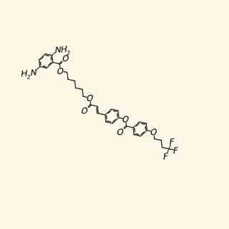 Nc1ccc(N)c(C(=O)OCCCCCCOC(=O)C=Cc2ccc(OC(=O)c3ccc(OCCCC(F)(F)F)cc3)cc2)c1